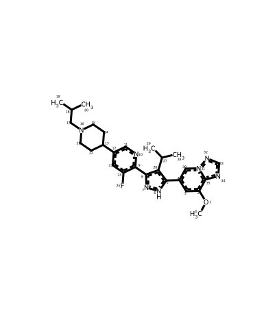 COc1cc(-c2[nH]nc(-c3ncc(C4CCN(CC(C)C)CC4)cc3F)c2C(C)C)cn2ncnc12